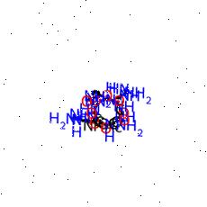 CC(=O)N[C@@H](CCCNC(=N)N)C(=O)N[C@H]1CCCC(=O)NCC[C@@H](C(N)=O)NC(=O)CNC(=O)[C@H](CCCNC(=N)N)NC(=O)[C@@H](Cc2ccccc2)NC(=O)[C@H](CCC(N)=O)NC1=O